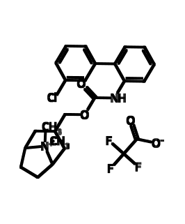 C[N+]1(C)C2CCC1CC(COC(=O)Nc1ccccc1-c1cccc(Cl)c1)C2.O=C([O-])C(F)(F)F